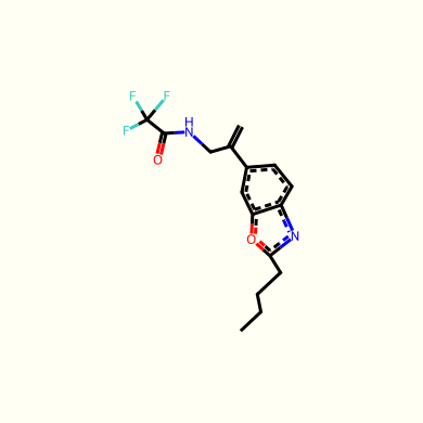 C=C(CNC(=O)C(F)(F)F)c1ccc2nc(CCCC)oc2c1